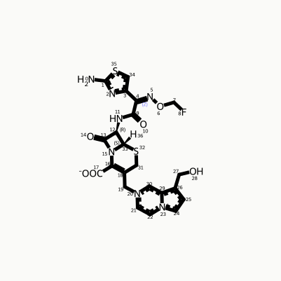 Nc1nc(/C(=N/OCF)C(=O)N[C@@H]2C(=O)N3C(C(=O)[O-])=C(Cn4cc[n+]5ccc(CO)c-5c4)CS[C@@H]23)cs1